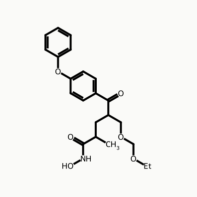 CCOCOCC(CC(C)C(=O)NO)C(=O)c1ccc(Oc2ccccc2)cc1